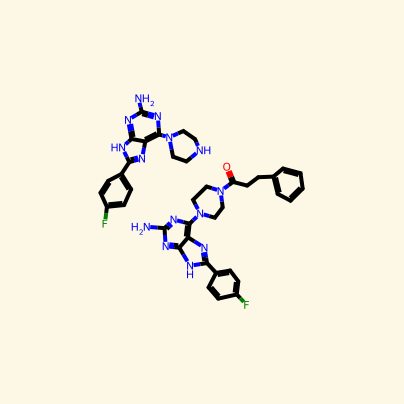 Nc1nc(N2CCN(C(=O)CCc3ccccc3)CC2)c2nc(-c3ccc(F)cc3)[nH]c2n1.Nc1nc(N2CCNCC2)c2nc(-c3ccc(F)cc3)[nH]c2n1